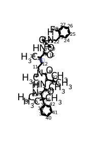 CN[C@H](C(=O)NC(C(=O)N(C)C/C=C(\C)C(=O)NS(=O)(=O)NCc1ccccc1F)C(C)(C)C)C(C)(C)c1ccccc1